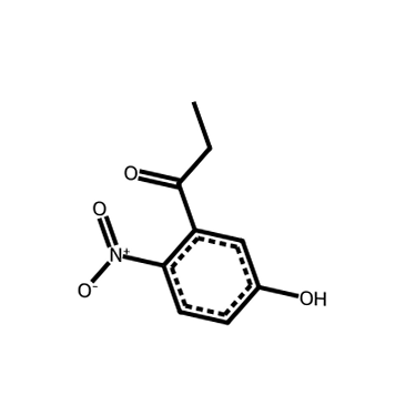 CCC(=O)c1cc(O)ccc1[N+](=O)[O-]